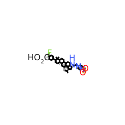 C=C(C)[C@@H]1CC[C@]2(NCCN3CCN(S(C)(=O)=O)CC3)CC[C@]3(C)[C@H](CCC4[C@@]5(C)CC=C(C6=CC[C@](CF)(C(=O)O)CC6)C(C)(C)C5CC[C@]43C)C12